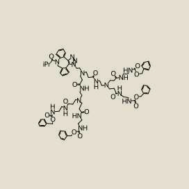 CC(C)C(=O)N1Cc2ccccc2-c2c(nnn2CCN(CCC(=O)NCCN(CCC(=O)NCCNC(=O)OCc2ccccc2)CCC(=O)NCCNC(=O)OCc2ccccc2)CCC(=O)NCCN(CCC(=O)NCCNC(=O)OCc2ccccc2)CCC(=O)NCCNC(=O)OCc2ccccc2)-c2ccccc21